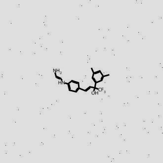 Cc1cc(C)cc(C(O)(/C=C/c2ccc(N/C=C/N)cc2)C(F)(F)F)c1